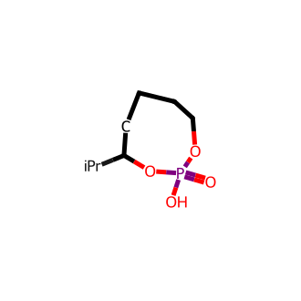 CC(C)C1CCCCOP(=O)(O)O1